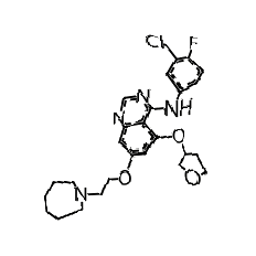 Fc1ccc(Nc2ncnc3cc(OCCN4CCCCCC4)cc(OC4CCOC4)c23)cc1Cl